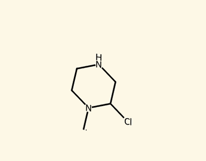 [CH2]N1CCNCC1Cl